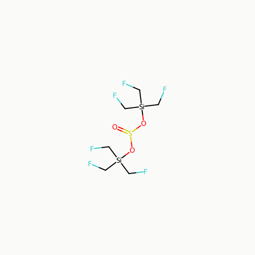 O=S(O[Si](CF)(CF)CF)O[Si](CF)(CF)CF